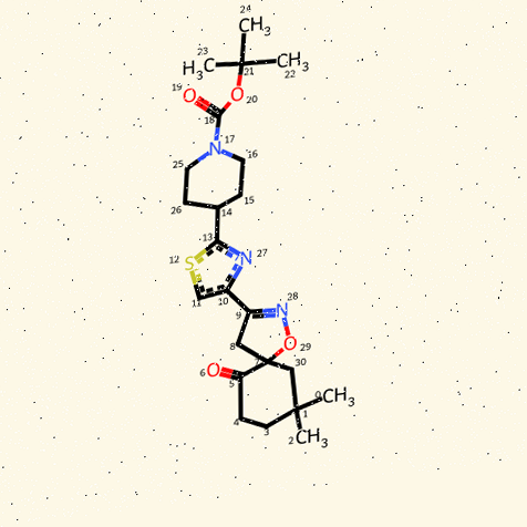 CC1(C)CCC(=O)C2(CC(c3csc(C4CCN(C(=O)OC(C)(C)C)CC4)n3)=NO2)C1